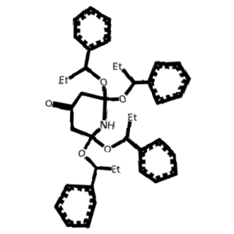 CCC(OC1(OC(CC)c2ccccc2)CC(=O)CC(OC(CC)c2ccccc2)(OC(CC)c2ccccc2)N1)c1ccccc1